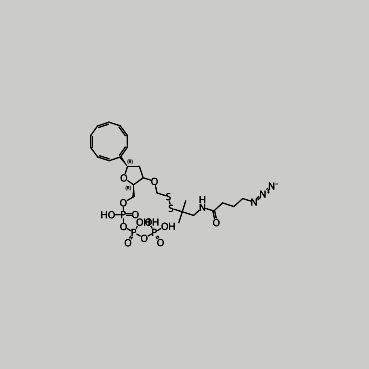 CC(C)(CNC(=O)CCCN=[N+]=[N-])SSCOC1C[C@H](c2ccccccccc2)O[C@@H]1COP(=O)(O)OP(=O)(O)OP(=O)(O)O